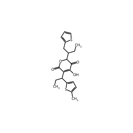 CCC(C1=C(O)C(=O)C(C(CC)Cc2cccs2)OC1=O)c1ccc(C)s1